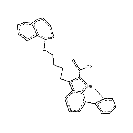 Cc1ccccc1-c1cccc2c(CCCCOc3cccc4ccccc34)c(C(=O)O)[nH]c12